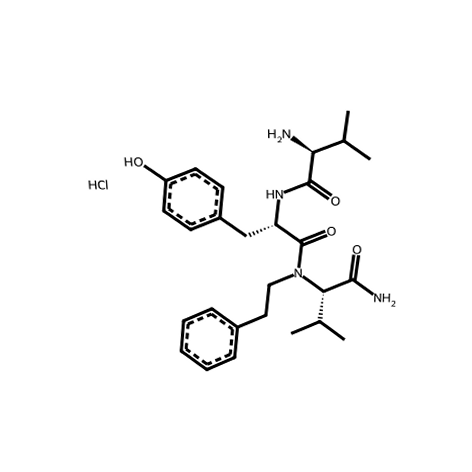 CC(C)[C@H](N)C(=O)N[C@@H](Cc1ccc(O)cc1)C(=O)N(CCc1ccccc1)[C@H](C(N)=O)C(C)C.Cl